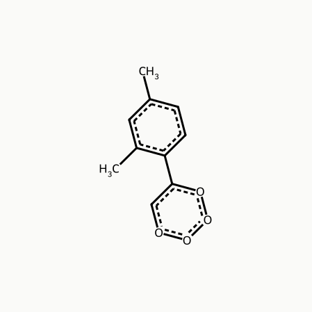 Cc1ccc(-c2coooo2)c(C)c1